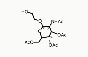 CC(=O)N[C@H]1C(OC(C)=O)[C@H](OC(C)=O)C(COC(C)=O)O[C@H]1OCCO